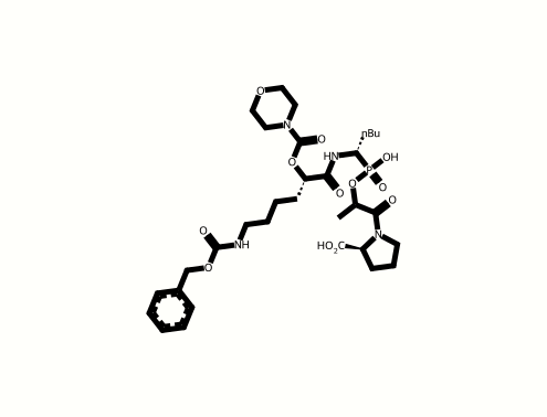 CCCC[C@@H](NC(=O)[C@H](CCCCNC(=O)OCc1ccccc1)OC(=O)N1CCOCC1)P(=O)(O)OC(C)C(=O)N1CCC[C@H]1C(=O)O